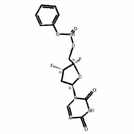 O=c1ncn([C@H]2C[C@H](F)[C@@](F)(CO[PH](=O)Oc3ccccc3)O2)c(=O)[nH]1